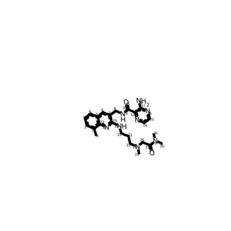 Cc1cccc2cc(CNC(=O)c3nccnc3N)c(NCCCN(C)CC(=O)N(C)C)nc12